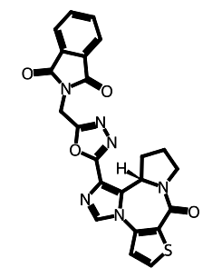 O=C1c2ccccc2C(=O)N1Cc1nnc(-c2ncn3c2[C@@H]2CCCN2C(=O)c2sccc2-3)o1